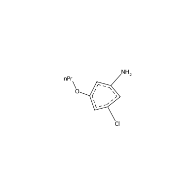 CCCOc1cc(N)cc(Cl)c1